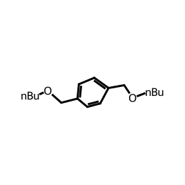 CCCCOCc1ccc(COCCCC)cc1